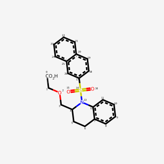 O=C(O)COCC1CCc2ccccc2N1S(=O)(=O)c1ccc2ccccc2c1